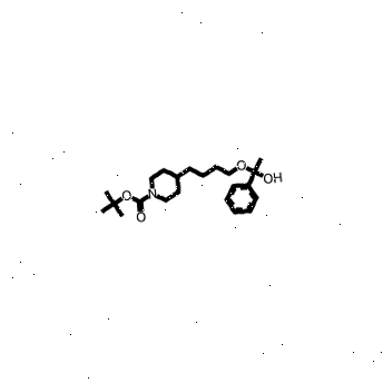 CC(C)(C)OC(=O)N1CCC(CCCCOC(C)(O)c2ccccc2)CC1